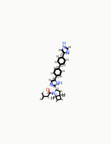 CC(C)CC(=O)N1[C@@H]2CC[C@@H]2C[C@H]1c1ncc(-c2ccc(-c3ccc(-c4c[nH]cn4)cc3)cc2)[nH]1